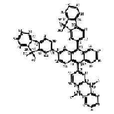 CN1c2ccccc2N(C)c2cc(-c3c4ccccc4c(-c4ccc5c(c4)C(C)(C)c4ccccc4-5)c4cc(-c5ccc6c(c5)C(C)(C)c5ccccc5-6)ccc34)ccc21